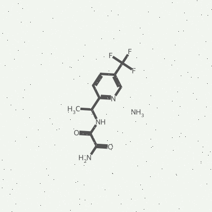 CC(NC(=O)C(N)=O)c1ccc(C(F)(F)F)cn1.N